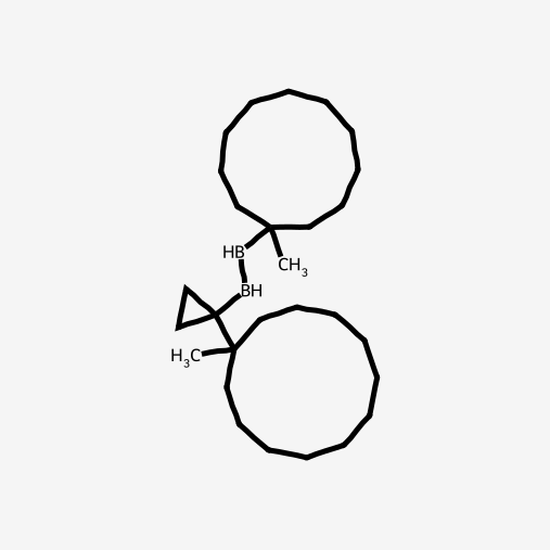 CC1(BBC2(C3(C)CCCCCCCCCCC3)CC2)CCCCCCCCCC1